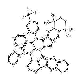 CC(C)(C)c1ccc(N2c3cc4sc5ccccc5c4c4c3B(c3oc5cc6c(cc5c32)C(C)(C)CCC6(C)C)n2c3cc5ccccc5cc3c3cccc-4c32)c(-c2ccccc2)c1